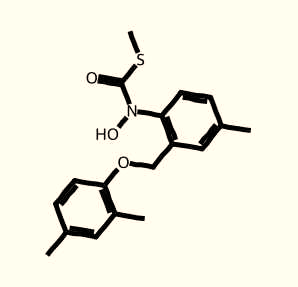 CSC(=O)N(O)c1ccc(C)cc1COc1ccc(C)cc1C